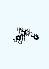 COc1ccc(CNc2nc(OCc3ccccn3)ncc2C(=O)O)cc1Cl